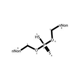 CCCCCCCCCCOP(=S)(S)OCCCCCCCCCC